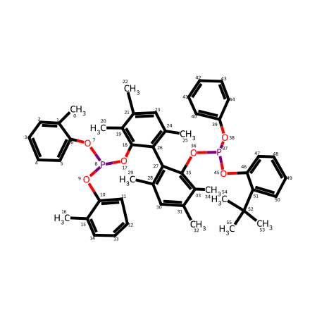 Cc1ccccc1OP(Oc1ccccc1C)Oc1c(C)c(C)cc(C)c1-c1c(C)cc(C)c(C)c1OP(Oc1ccccc1)Oc1ccccc1C(C)(C)C